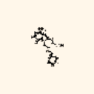 COCCc1nc2c(N)nc(C)c(C)c2n1CCCSc1ncccn1